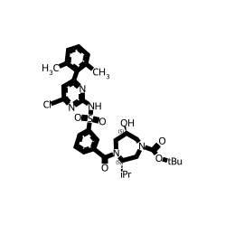 Cc1cccc(C)c1-c1cc(Cl)nc(NS(=O)(=O)c2cccc(C(=O)N3C[C@H](O)CN(C(=O)OC(C)(C)C)C[C@@H]3C(C)C)c2)n1